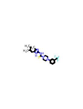 C=C/C(C)=C\c1[nH]c(NC(=S)N2CCN(c3cccc(C(F)(F)F)c3)CC2)nc1C